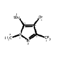 Cn1nc(C(F)(F)F)c(Br)c1C(C)(C)C